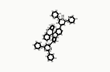 C1=C(c2ccc3c(c2)C2(c4ccccc4Sc4ccccc42)c2cc(-c4cc(-c5ccccc5)nc(-c5ccccc5)n4)ccc2-3)C=C(c2ccccn2)NC1c1ccccn1